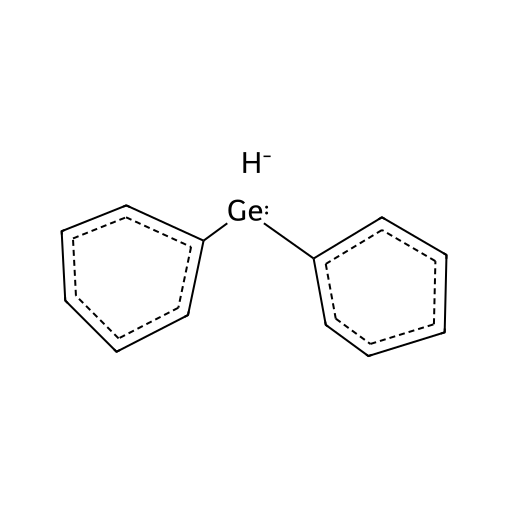 [H-].c1cc[c]([Ge][c]2ccccc2)cc1